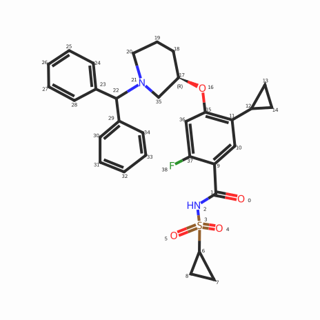 O=C(NS(=O)(=O)C1CC1)c1cc(C2CC2)c(O[C@@H]2CCCN(C(c3ccccc3)c3ccccc3)C2)cc1F